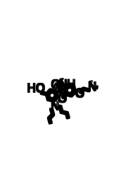 CCCCN(CCCC)c1cc(CO)cc(S(=O)(=O)NC)c1Oc1cccc(OCCN(C)C)c1